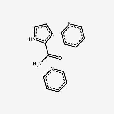 NC(=O)c1ncc[nH]1.c1ccncc1.c1ccncc1